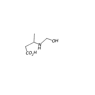 CC(CC(=O)O)NCO